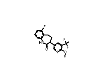 COc1ncc(C2CCc3c(F)cccc3NC2=O)cc1C(C)(F)F